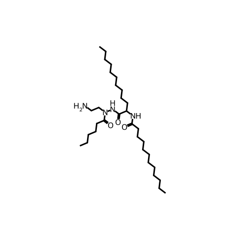 CCCCCCCCCCCC(=O)NC(CCCCCCCCCC)C(=O)NN(CCN)C(=O)CCCCC